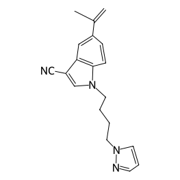 C=C(C)c1ccc2c(c1)c(C#N)cn2CCCCn1cccn1